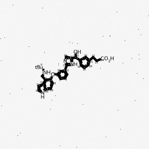 CC(C)(C)NCc1c(Oc2cccc(-c3ncc(C(O)c4cccc(CCC(=O)O)c4)[nH]3)c2)ccc2[nH]ccc12